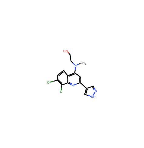 CN(CCO)c1cc(-c2cn[nH]c2)nc2c(Cl)c(Cl)ccc12